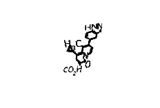 Cc1c(-c2ccc3[nH]ncc3c2)ccn2c(=O)c(C(=O)O)cc(C3CC3)c12